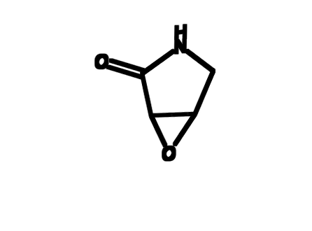 O=C1NCC2OC12